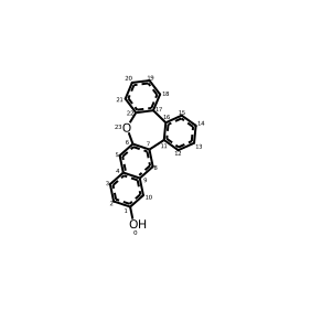 Oc1ccc2cc3c(cc2c1)-c1ccccc1-c1ccccc1O3